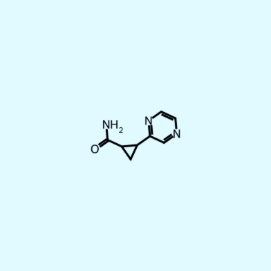 NC(=O)C1CC1c1cnccn1